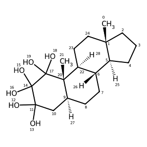 C[C@@]12CCC[C@H]1[C@@H]1CC[C@H]3CC(O)(O)C(O)(O)C(O)(O)[C@]3(C)[C@H]1CC2